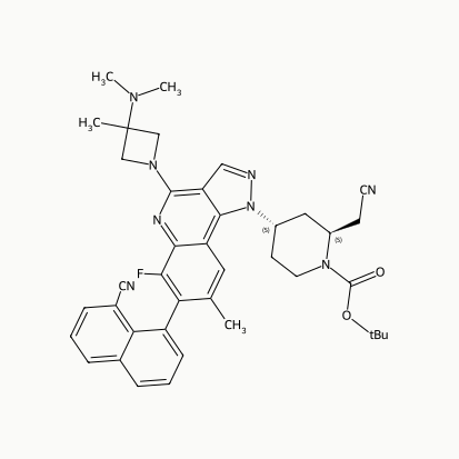 Cc1cc2c(nc(N3CC(C)(N(C)C)C3)c3cnn([C@H]4CCN(C(=O)OC(C)(C)C)[C@H](CC#N)C4)c32)c(F)c1-c1cccc2cccc(C#N)c12